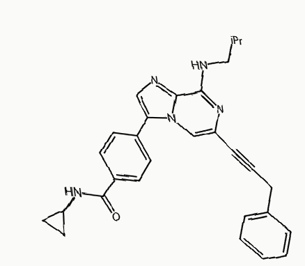 CC(C)CNc1nc(C#CCc2ccccc2)cn2c(-c3ccc(C(=O)NC4CC4)cc3)cnc12